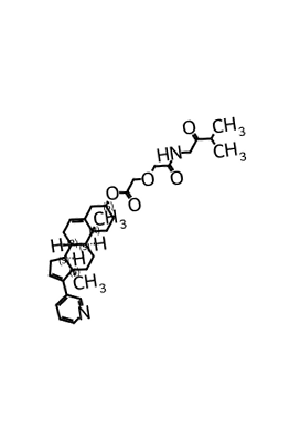 CC(C)C(=O)CNC(=O)COCC(=O)O[C@H]1CC[C@@]2(C)C(=CC[C@@H]3[C@@H]2CC[C@]2(C)C(c4cccnc4)=CC[C@@H]32)C1